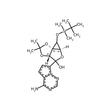 CC1(C)O[C@H]2C(O)(c3ccc4c(N)ncnn34)O[C@@H]3C(O[Si](C)(C)C(C)(C)C)[C@@]32O1